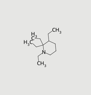 CCC1CCCN(CC)C1(CC)CC